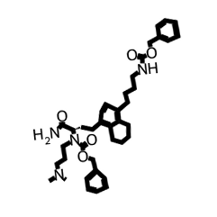 CN(C)CCCN(C(=O)OCc1ccccc1)[C@@H](CCc1ccc(CCCCNC(=O)OCc2ccccc2)c2c1CCCC2)C(N)=O